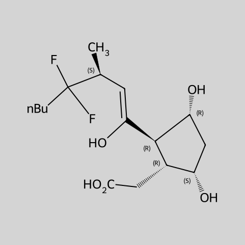 CCCCC(F)(F)[C@@H](C)C=C(O)[C@@H]1[C@@H](CC(=O)O)[C@@H](O)C[C@H]1O